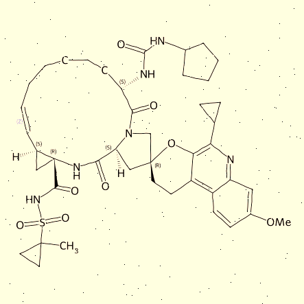 COc1ccc2c3c(c(C4CC4)nc2c1)O[C@]1(CC3)C[C@H]2C(=O)N[C@]3(C(=O)NS(=O)(=O)C4(C)CC4)C[C@H]3/C=C\CCCCC[C@H](NC(=O)NC3CCCC3)C(=O)N2C1